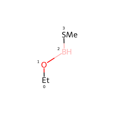 CCOBSC